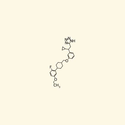 CCOc1ccc(F)c(C2CCC(COc3cccc(C(Cc4nnn[nH]4)C4CC4)c3)CC2)c1